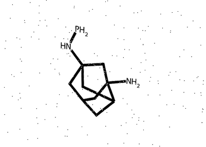 NC12CC3CC1CC(NP)(C3)C2